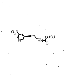 CC(C)(C)OC(=O)NCCCC#Cc1cncc([N+](=O)[O-])c1